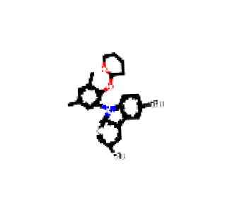 Cc1cc(C)c(OC2CCCCO2)c(-n2c3ccc(C(C)(C)C)cc3c3cc(C(C)(C)C)ccc32)c1